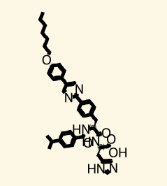 CCCCCCCOc1ccc(-c2cnc(-c3ccc(C[C@H](NC(=O)c4ccc(C(C)C)cc4)C(=O)N[C@H](Cc4cnc[nH]4)C(=O)O)cc3)nc2)cc1